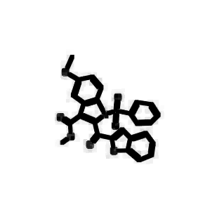 COC(=O)c1c(C(=O)c2cc3ccccc3o2)n(S(=O)(=O)c2ccccc2)c2ccc(OC)cc12